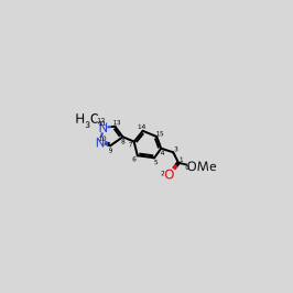 COC(=O)Cc1ccc(-c2cnn(C)c2)cc1